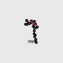 CCCCCCCC1(CCCCCCC)c2ccccc2-c2ccc(-c3ccc4c(c3)C(C)(C)c3cc(-c5ccc(-c6cc7c(c8c6oc6ccccc68)-c6ccc(N(c8ccc9c(c8)C(C)(C)c8c%10c(c%11c(oc%12ccccc%12%11)c8-9)-c8ccccc8C%10(C)C)c8c(-c9ccccc9)cccc8-c8ccccc8)cc6C7(C)C)cc5)ccc3-4)cc21